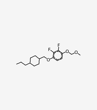 CCCC1CCC(COc2ccc(OCOC)c(F)c2F)CC1